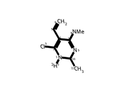 [2H]N1C(Cl)=C(C=C)C(NC)=NC1C